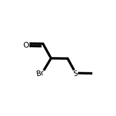 CSCC(Br)C=O